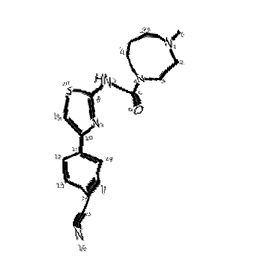 CN1CCN(C(=O)Nc2nc(-c3ccc(C#N)cc3)cs2)CC1